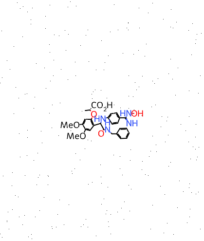 COc1cc(O[C@H](C)C(=O)O)c(C(Nc2ccc(C(=N)NO)cc2)C(=O)NCc2ccccc2)cc1OC